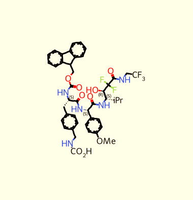 COc1ccc([C@H](NC(=O)[C@H](Cc2ccc(CNC(=O)O)cc2)NC(=O)OCC2c3ccccc3-c3ccccc32)C(=O)N[C@@H](C(C)C)[C@@H](O)C(F)(F)C(=O)NCC(F)(F)F)cc1